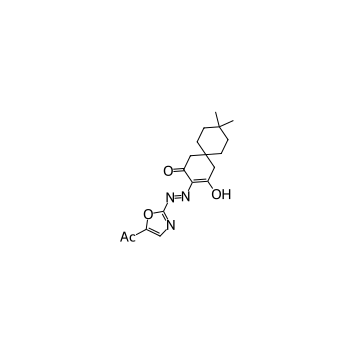 CC(=O)c1cnc(N=NC2=C(O)CC3(CCC(C)(C)CC3)CC2=O)o1